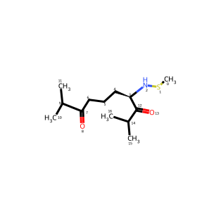 CSN[C@H](CCCC(=O)C(C)C)C(=O)C(C)C